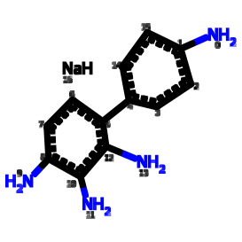 Nc1ccc(-c2ccc(N)c(N)c2N)cc1.[NaH]